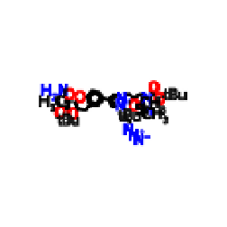 CC(C)(C)OC(=O)NCC(Cn1cc(-c2ccc3c(c2)CC[C@H](C(C)(ON)C(=O)OC(C)(C)C)O3)c[n+]1CCCN=[N+]=[N-])O[Si](C)(C)C(C)(C)C